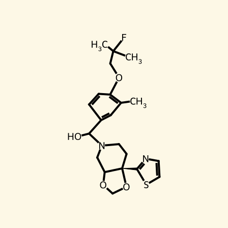 Cc1cc(C(O)N2CC[C@]3(c4nccs4)OCOC3C2)ccc1OCC(C)(C)F